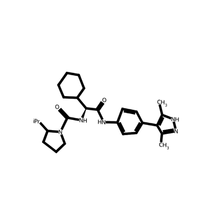 Cc1n[nH]c(C)c1-c1ccc(NC(=O)[C@@H](NC(=O)N2CCCC2C(C)C)C2CCCCC2)cc1